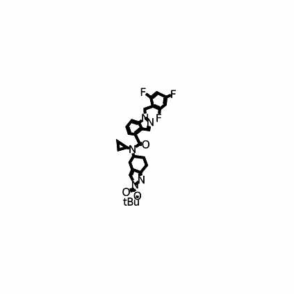 CC(C)(C)OC(=O)n1cc2c(n1)CCC(N(C(=O)c1cccc3c1cnn3Cc1c(F)cc(F)cc1F)C1CC1)C2